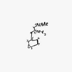 CNC[C@@H](N)CC1CCCOC1